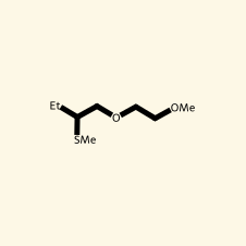 CCC(COCCOC)SC